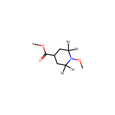 [3H]OC(=O)C1CC([3H])([3H])N(OC)C([3H])([3H])C1